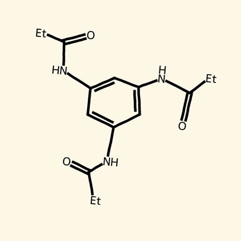 CCC(=O)Nc1cc(NC(=O)CC)cc(NC(=O)CC)c1